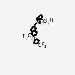 CC1(C)C2CCC1(C(=O)O)C(NCc1ccc3c(C(F)(F)F)c(OC4CCC(C(F)(F)F)CC4)ccc3c1)C2